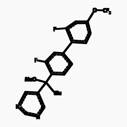 COC(c1cncnc1)(c1ccc(-c2ccc(OC(F)(F)F)cc2F)cc1F)C(C)(C)C